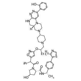 CCC(CN1CCC(N2CCN3c4cc(-c5ccccc5O)nnc4NC[C@H]3C2)CC1)Oc1cc(C(C(=O)N2C[C@H](O)C[C@H]2C(=O)N[C@@H](C)c2ccc(-c3scnc3C)cc2)C(C)C)on1